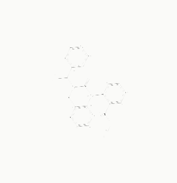 COC(=O)c1ccccc1N1C(=O)N(C(C)c2ccncc2)Cc2cccnc21